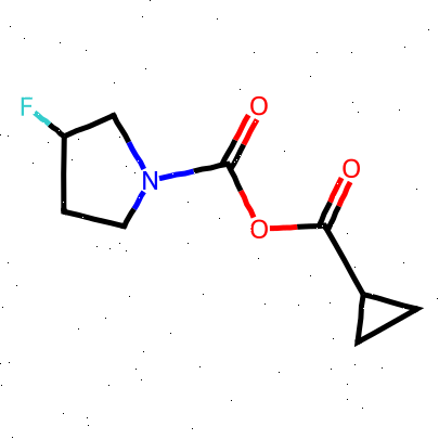 O=C(OC(=O)N1CCC(F)C1)C1CC1